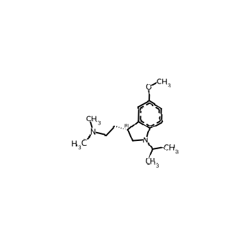 COc1ccc2c(c1)[C@@H](CCN(C)C)CN2C(C)C